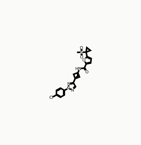 CS(=O)(=O)C1(c2ccc(C(=O)NC34CC(c5cnn(-c6ccc(Cl)cc6)n5)(C3)C4)o2)CC1